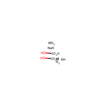 O=S(=O)(O)O.O=S(=O)(O)O.[AlH3].[AlH3].[KH].[NaH]